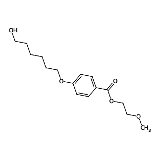 COCCOC(=O)c1ccc(OCCCCCCO)cc1